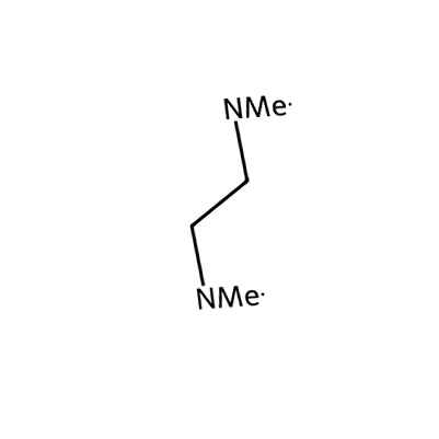 C[N]CC[N]C